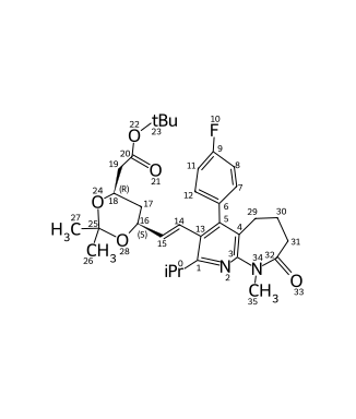 CC(C)c1nc2c(c(-c3ccc(F)cc3)c1C=C[C@@H]1C[C@H](CC(=O)OC(C)(C)C)OC(C)(C)O1)CCCC(=O)N2C